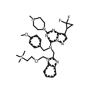 COc1ccc(CN(Cc2nc3ccccc3n2COCCS(C)(C)C)c2nc(N3CCN(C)CC3)nc3c(C4CC4(F)F)cnn23)cc1